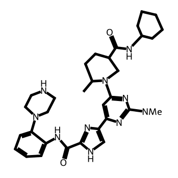 CNc1nc(-c2c[nH]c(C(=O)Nc3ccccc3N3CCNCC3)n2)cc(N2CC(C(=O)NC3CCCCC3)CCC2C)n1